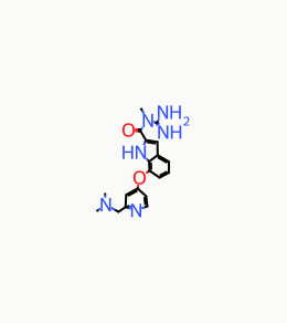 CN(C)Cc1cc(Oc2cccc3cc(C(=O)N(C)C(=N)N)[nH]c23)ccn1